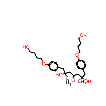 CC(O)(CC(=O)CC(C)(O)Cc1ccc(OCCCCO)cc1)Cc1ccc(OCCCCO)cc1